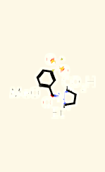 CC[C@@H]1CC[C@H](C(=O)O)N1C(=O)c1cc(S(C)(=O)=O)ccc1OC